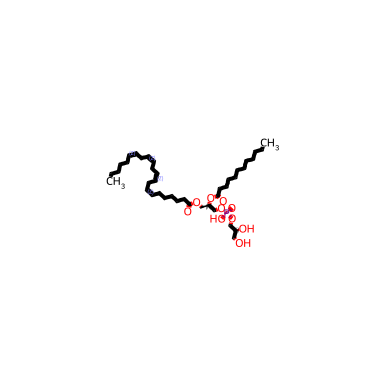 CCCCC/C=C\C/C=C\C/C=C\C/C=C\CCCCCC(=O)OC[C@H](COP(=O)(O)OC[C@@H](O)CO)OC(=O)CCCCCCCCCCC